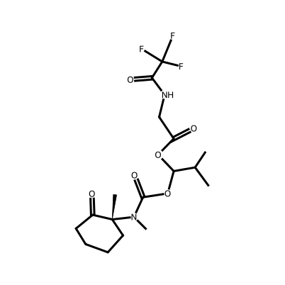 CC(C)C(OC(=O)CNC(=O)C(F)(F)F)OC(=O)N(C)[C@]1(C)CCCCC1=O